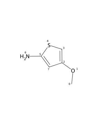 COc1csc(N)c1